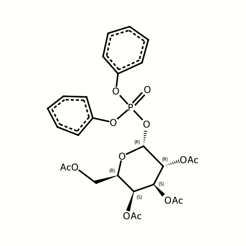 CC(=O)OC[C@H]1O[C@H](OP(=O)(Oc2ccccc2)Oc2ccccc2)[C@H](OC(C)=O)[C@@H](OC(C)=O)[C@H]1OC(C)=O